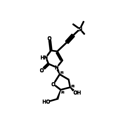 C[Si](C)(C)C#Cc1cn([C@H]2C[C@@H](O)[C@@H](CO)O2)c(=O)[nH]c1=O